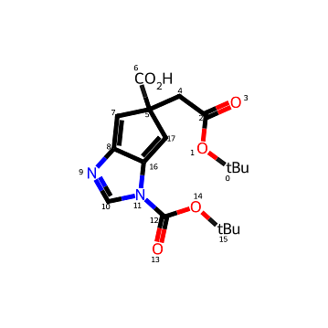 CC(C)(C)OC(=O)CC1(C(=O)O)C=c2ncn(C(=O)OC(C)(C)C)c2=C1